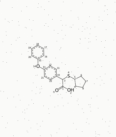 O=C(O)C(SC1CCCC1)c1ccc(Oc2ccccc2)cc1